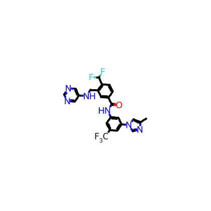 Cc1cn(-c2cc(NC(=O)c3ccc(C(F)F)c(CNc4cncnc4)c3)cc(C(F)(F)F)c2)cn1